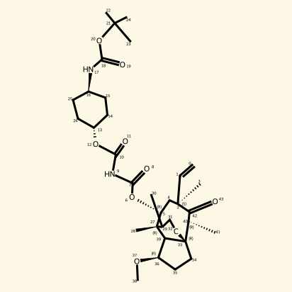 C=C[C@]1(C)C[C@@H](OC(=O)NC(=O)O[C@H]2CC[C@H](NC(=O)OC(C)(C)C)CC2)[C@]2(C)C(C)CC[C@]3(CC[C@@H](OC)C32)[C@@H](C)C1=O